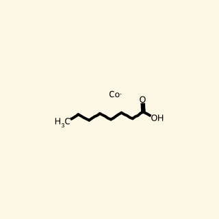 CCCCCCCC(=O)O.[Co]